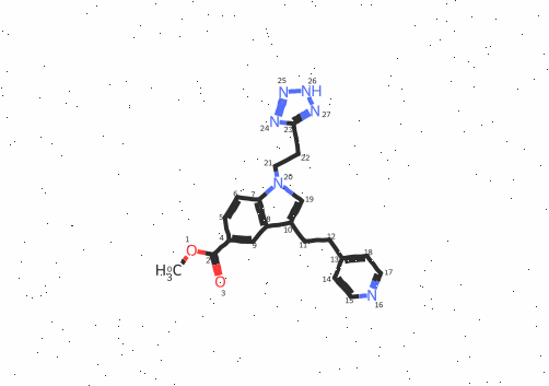 COC(=O)c1ccc2c(c1)c(CCc1ccncc1)cn2CCc1nn[nH]n1